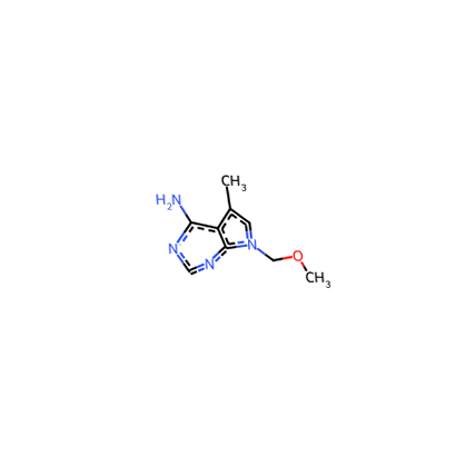 COCn1cc(C)c2c(N)ncnc21